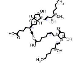 CCCCC[C@H](O)/C=C/[C@H]1[C@H](O)CC(=O)[C@@H]1C/C=C\CCCC(=O)O.CCCC[C@H](C)[C@H](O)/C=C/[C@@H]1[C@H]2C/C(=C(\C#N)CCCC(=O)O)O[C@H]2C[C@H]1O